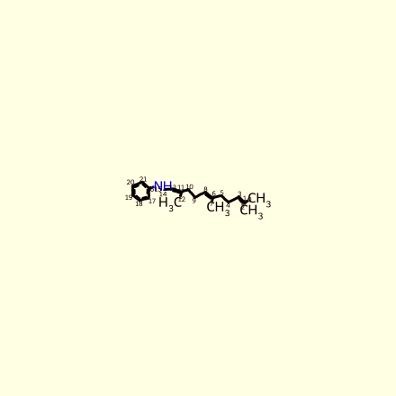 CC(C)=CCC/C(C)=C/CC/C(C)=C/CNc1ccccc1